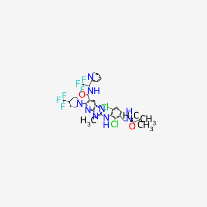 Cn1c(Nc2c(Cl)ccc(CNC(=O)C(C)(C)C)c2Cl)nc2cc(C(=O)NC(c3ccccn3)C(F)(F)F)c(N3CCC(C(F)(F)F)CC3)nc21